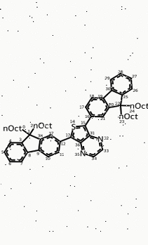 CCCCCCCCC1(CCCCCCCC)c2ccccc2-c2ccc(-c3sc(-c4ccc5c(c4)C(CCCCCCCC)(CCCCCCCC)c4ccccc4-5)c4nccnc34)cc21